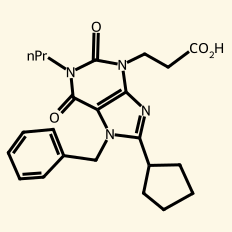 CCCn1c(=O)c2c(nc(C3CCCC3)n2Cc2ccccc2)n(CCC(=O)O)c1=O